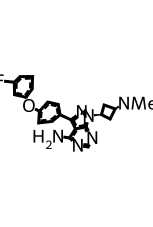 CN[C@H]1C[C@@H](n2nc(-c3ccc(Oc4cccc(F)c4)cc3)c3c(N)ncnc32)C1